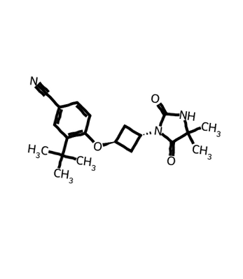 CC1(C)NC(=O)N([C@H]2C[C@H](Oc3ccc(C#N)cc3C(C)(C)C)C2)C1=O